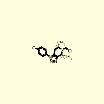 C[C@H]1Cc2c(nnn2-c2ccc(F)cc2)[C@H](C)N1C=O